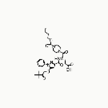 CCCCOC(=O)N1CCN(C(=O)[C@H](CCC(=O)O)NC(=O)c2cc(OCC(=O)C(C)(C)C)n(-c3ccccc3)n2)CC1